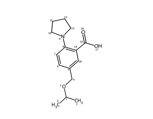 CC(C)OCc1ccc(N2CCCC2)c(C(=O)O)c1